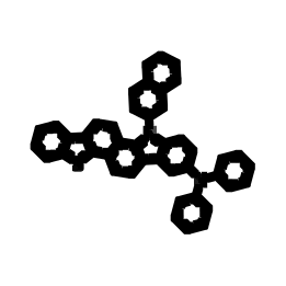 c1ccc(N(c2ccccc2)c2ccc3c(c2)c2ccc4c(ccc5c6ccccc6sc54)c2n3-c2ccc3ccccc3c2)cc1